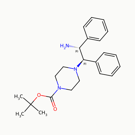 CC(C)(C)OC(=O)N1CCN([C@H](c2ccccc2)[C@H](N)c2ccccc2)CC1